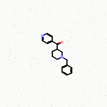 O=C(c1ccncc1)C1CCCN(Cc2ccccc2)C1